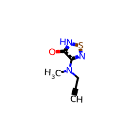 C#CCN(C)c1ns[nH]c1=O